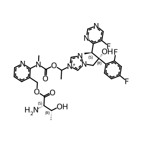 CC(OC(=O)N(C)c1ncccc1COC(=O)[C@@H](N)[C@@H](C)O)[n+]1cnn(C[C@](O)(c2ccc(F)cc2F)[C@@H](C)c2ncncc2F)c1